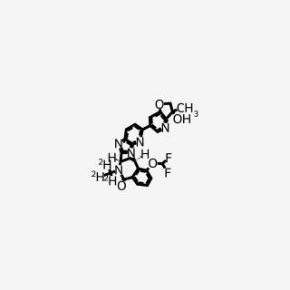 [2H]C([2H])([2H])N1C(=O)c2cccc(OC(F)F)c2[C@H]2C[C@@H]1c1nc3ccc(-c4cnc5c(c4)OCC5(C)O)nc3n12